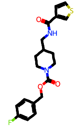 O=C(NCC1CCN(C(=O)OCc2ccc(F)cc2)CC1)c1ccsc1